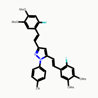 COc1cc(F)c(C=Cc2cc(C=Cc3cc(OC)c(OC)cc3F)n(-c3ccc(C#N)cc3)n2)cc1OC